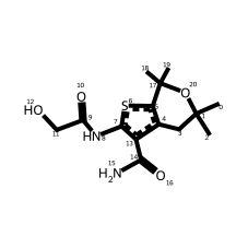 CC1(C)Cc2c(sc(NC(=O)CO)c2C(N)=O)C(C)(C)O1